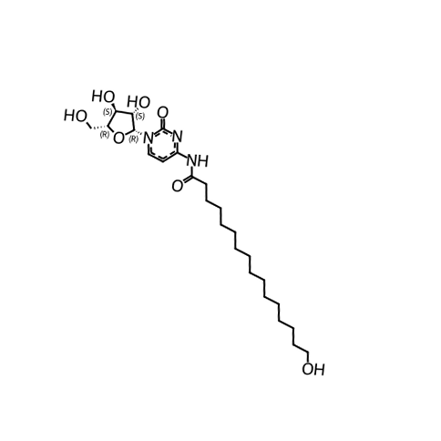 O=C(CCCCCCCCCCCCCCCO)Nc1ccn([C@@H]2O[C@H](CO)[C@@H](O)[C@@H]2O)c(=O)n1